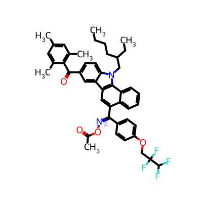 CCCCC(CC)Cn1c2ccc(C(=O)c3c(C)cc(C)cc3C)cc2c2cc(/C(=N/OC(C)=O)c3ccc(OCC(F)(F)C(F)F)cc3)c3ccccc3c21